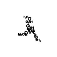 COc1ccc(-c2nc(Nc3cc(C(=O)Nc4cccc(C(F)(F)F)c4)ccc3C)c3cnn(CCN4CCN(C)CC4)c3n2)cn1